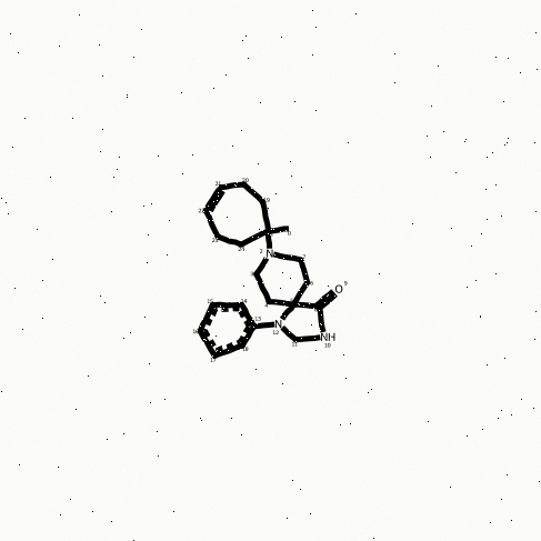 CC1(N2CCC3(CC2)C(=O)NCN3c2ccccc2)CCC=CCC1